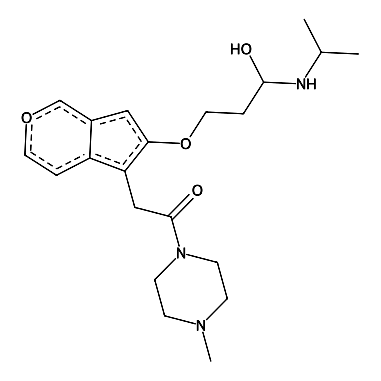 CC(C)NC(O)CCOc1cc2coccc-2c1CC(=O)N1CCN(C)CC1